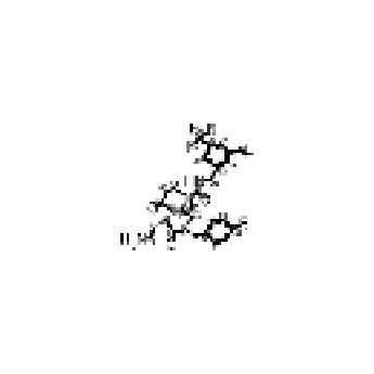 NCC[C@H]1C(=O)N(Cc2ccc(F)cc2)C[C@@H]2N(C(=O)NCc3cc(CF)cc(C(F)(F)F)c3)CCC(=O)N21